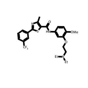 CCN(CC)CCOc1cc(NC(=O)c2sc(-c3cccc(C(F)(F)F)c3)nc2C)ccc1OC